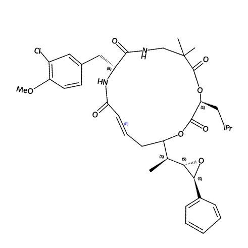 COc1ccc(C[C@H]2NC(=O)/C=C/CC([C@H](C)[C@@H]3O[C@H]3c3ccccc3)OC(=O)[C@H](CC(C)C)OC(=O)C(C)(C)CNC2=O)cc1Cl